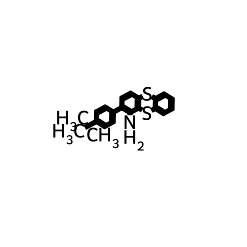 CC(C)(C)c1ccc(-c2ccc3c(c2N)Sc2ccccc2S3)cc1